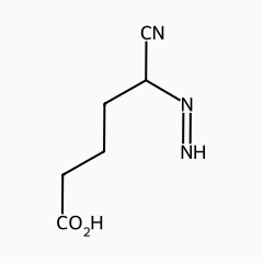 N#CC(CCCC(=O)O)N=N